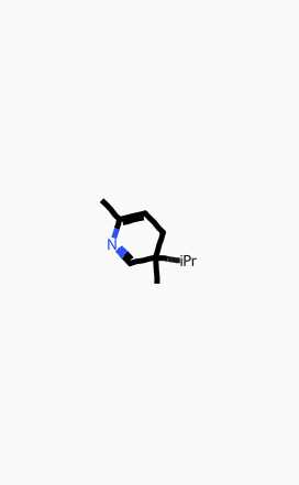 CC1=CCC(C)(C(C)C)C=N1